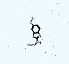 CCCCCCNc1nc2ccc(OCC)cc2s1